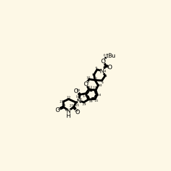 CC(C)(C)OC(=O)N1CCC2(CC1)COc1c(ccc3c1C(=O)N(C1CCC(=O)NC1=O)C3)C2